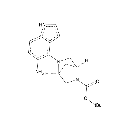 CC(C)(C)OC(=O)N1C[C@@H]2C[C@H]1CN2c1c(N)ccc2[nH]ccc12